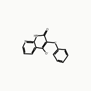 O=c1[nH]c2ncccc2c([O-])c1[I+]c1ccccc1